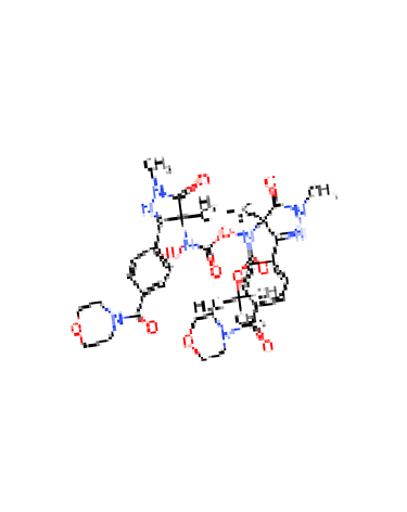 CN1N=C(c2ccc(C(=O)N3CCOCC3)cc2)C(C)(N(O)C(=O)ON(C(=O)OC(C)(C)C)C2(C)C(=O)N(C)N=C2c2ccc(C(=O)N3CCOCC3)cc2)C1=O